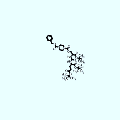 CC(C)(C)OC(=O)CCC(NC(=O)NC(COC(=O)N1CCN(C(=O)OCc2ccccc2)CC1)C(=O)OC(C)(C)C)C(=O)OC(C)(C)C